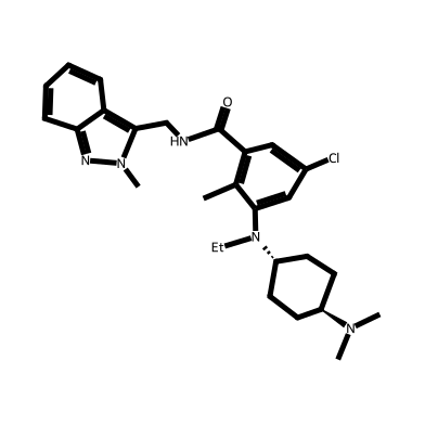 CCN(c1cc(Cl)cc(C(=O)NCc2c3ccccc3nn2C)c1C)[C@H]1CC[C@H](N(C)C)CC1